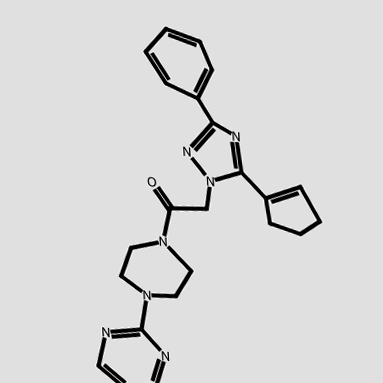 O=C(Cn1nc(-c2ccccc2)nc1C1=CCCC1)N1CCN(c2ncccn2)CC1